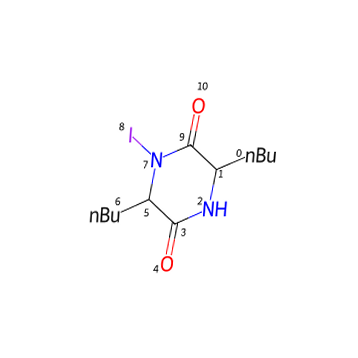 CCCCC1NC(=O)C(CCCC)N(I)C1=O